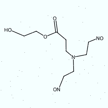 O=NCCN(CCN=O)CCC(=O)OCCO